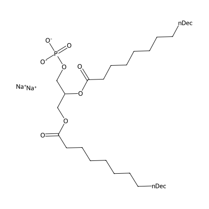 CCCCCCCCCCCCCCCCCC(=O)OCC(COP(=O)([O-])[O-])OC(=O)CCCCCCCCCCCCCCCCC.[Na+].[Na+]